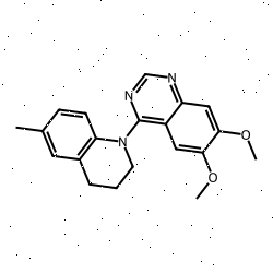 COc1cc2ncnc(N3CCCc4cc(C)ccc43)c2cc1OC